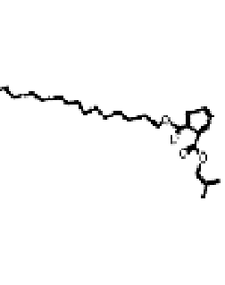 CCCCCCCCCCCCCCCOC(=O)c1ccccc1C(=O)OCC(C)C